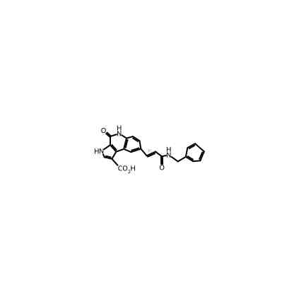 O=C(/C=C/c1ccc2[nH]c(=O)c3[nH]cc(C(=O)O)c3c2c1)NCc1ccccc1